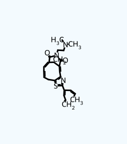 C=C/C=C(\C=C/C)c1nc2c(s1)C/C=C\C=C1/C(=C)/C(=C\2)C(=O)N(CCN(C)C)C1=O